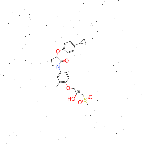 Cc1cc(N2CCC(Oc3ccc(C4CC4)cc3)C2=O)ccc1OC[C@H](O)CS(C)(=O)=O